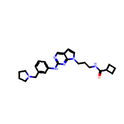 O=C(NCCCn1ccc2cnc(Nc3cccc(CN4CCCC4)c3)nc21)C1CCC1